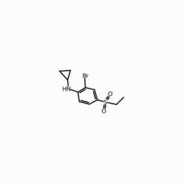 CCS(=O)(=O)c1ccc(NC2CC2)c(Br)c1